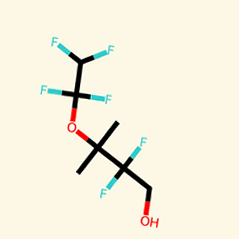 CC(C)(OC(F)(F)C(F)F)C(F)(F)CO